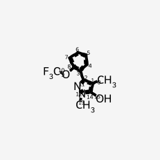 Cc1c(-c2ccccc2OC(F)(F)F)nn(C)c1O